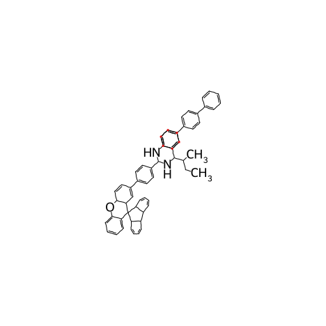 CCC(C)C(NC(Nc1ccc(-c2ccc(-c3ccccc3)cc2)cc1)c1ccc(C2=CC3C(C=C2)Oc2ccccc2C32C3C=CC=CC3C3C=CC=CC32)cc1)c1ccccc1